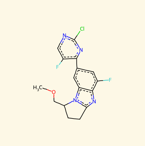 COCC1CCc2nc3c(F)cc(-c4nc(Cl)ncc4F)cc3n21